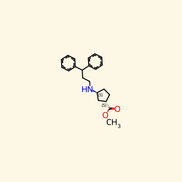 COC(=O)[C@H]1CC[C@H](NCCC(c2ccccc2)c2ccccc2)C1